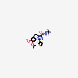 COc1cc2c(cc1OC(C)C)-n1c(-c3ccsc3)nc(C(=O)NCC(C)(C)C)c1CC2